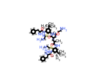 C=C(/C=C(\C=C(/C)OCCN)C(=O)Nc1cc(C(C)(C)C)cc(NC(=O)[C@H](N)Cc2ccccc2)c1SCCN)C(=O)Nc1cc(C(C)(C)C)cc(NC(=O)C(N)Cc2ccccc2)c1SCCN